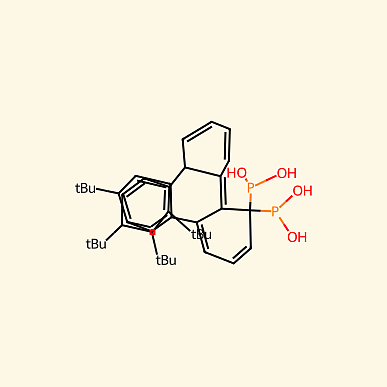 CC(C)(C)c1ccc(C2=CC=CC(P(O)O)(P(O)O)C2=C2C=CC=CC2c2ccc(C(C)(C)C)cc2C(C)(C)C)c(C(C)(C)C)c1